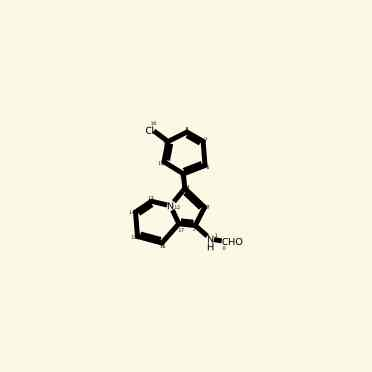 O=CNc1cc(-c2cccc(Cl)c2)n2ccccc12